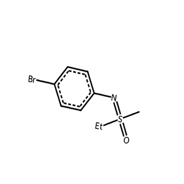 CCS(C)(=O)=Nc1ccc(Br)cc1